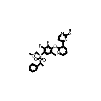 COCN(c1cc(C)c(Oc2ncccc2-c2ccnc(SC)n2)c(F)c1F)S(=O)(=O)C(C)c1ccccc1